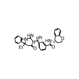 CCC[C@H](c1cccc(C(=O)N[C@H]2CCOc3ccccc32)c1)N1C(=N)N[C@@](CC)(c2ccccc2)CC1=O